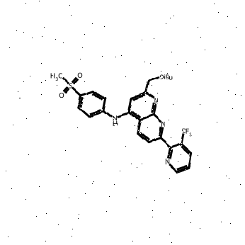 CC(C)COCc1cc(Nc2ccc(S(C)(=O)=O)cc2)c2ccc(-c3ncccc3C(F)(F)F)nc2n1